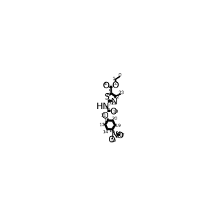 CCOC(=O)c1sc(NC(=O)Oc2ccc([N+](=O)[O-])cc2)nc1C